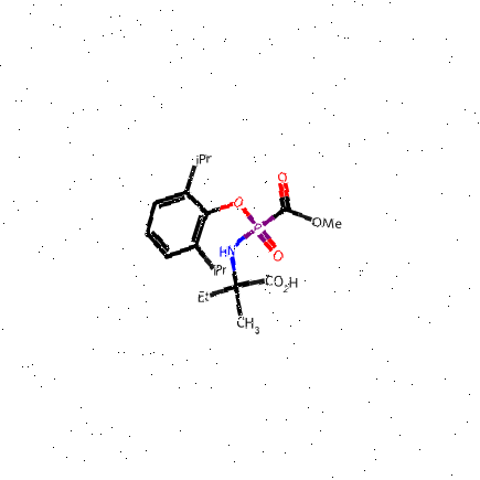 CCC(C)(NP(=O)(Oc1c(C(C)C)cccc1C(C)C)C(=O)OC)C(=O)O